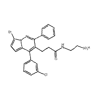 CCc1ccc2c(-c3cccc(Cl)c3)c(CCC(=O)NCCS(=O)(=O)O)c(-c3ccccc3)nn12